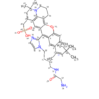 C=c1cc2c(cc1/C(C)=C\C(C)(C)C)=C(c1nccn1CCCCNC(=O)CN)c1cc3c4c(c1O2)CCCN4C(C)(C)C=C3CS(=O)(=O)O